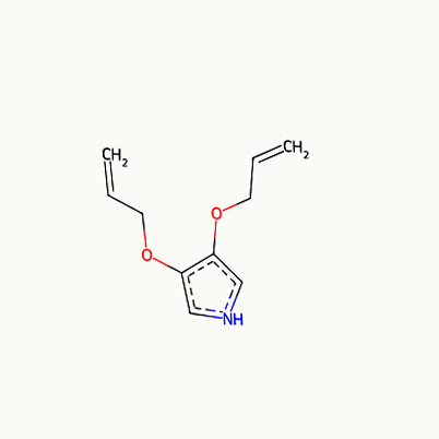 C=CCOc1c[nH]cc1OCC=C